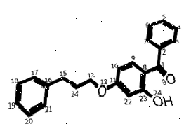 O=C(c1ccccc1)c1ccc(OCCCc2ccccc2)cc1O